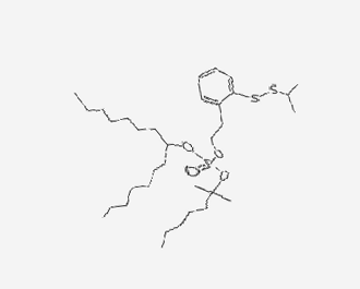 CCCCCCCC(CCCCCCC)OP(=O)(OCCc1ccccc1SSC(C)C)OC(C)(C)CCCCC